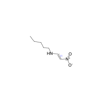 CCCCCN/[C]=C/[N+](=O)[O-]